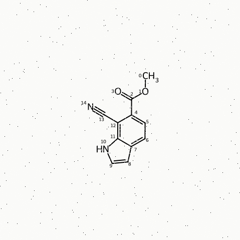 COC(=O)c1ccc2cc[nH]c2c1C#N